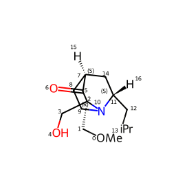 COC[C@]1(CO)C(=O)[C@H]2CCN1[C@@H](CC(C)C)C2